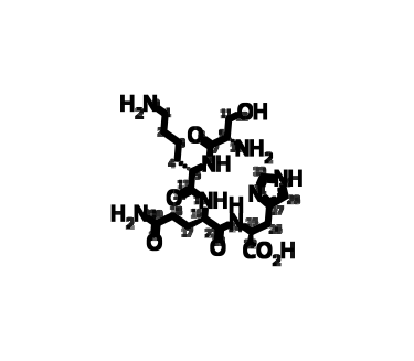 NCCCC[C@H](NC(=O)[C@@H](N)CO)C(=O)N[C@H](CCC(N)=O)C(=O)N[C@@H](Cc1c[nH]cn1)C(=O)O